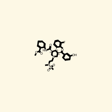 COC(=O)c1ccccc1NC(=O)[C@@H]1CN(CCN(C)S(C)(=O)=O)C[C@H](C(=O)c2cccc(O)c2)[C@H]1c1cccc(F)c1C